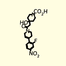 O=C(O)N1CCC(O)(CC(=O)N2CC=C(c3ccc([N+](=O)[O-])cc3F)CC2)CC1